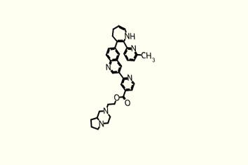 Cc1cccc(C2=C(c3ccc4ncc(-c5cc(C(=O)OCCN6CCN7CCCC7C6)ccn5)cc4c3)CCC=CN2)n1